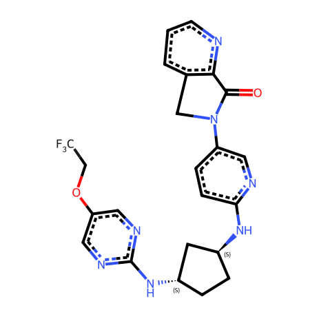 O=C1c2ncccc2CN1c1ccc(N[C@H]2CC[C@H](Nc3ncc(OCC(F)(F)F)cn3)C2)nc1